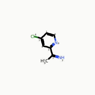 CC(=N)c1cc(Cl)ccn1